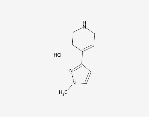 Cl.Cn1ccc(C2=CCNCC2)n1